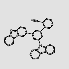 N#Cc1ccccc1-c1cc(-c2ccc3oc4ccccc4c3c2)cc(-n2c3ccccc3c3ccccc32)c1